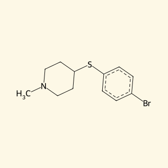 CN1CCC(Sc2ccc(Br)cc2)CC1